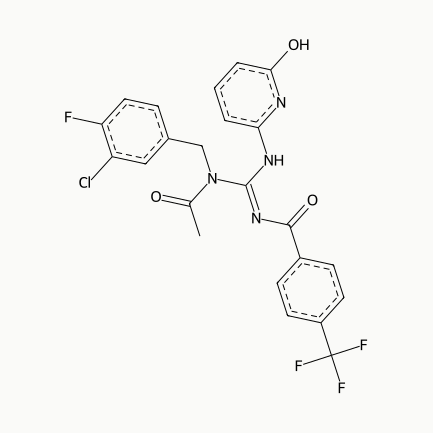 CC(=O)N(Cc1ccc(F)c(Cl)c1)/C(=N/C(=O)c1ccc(C(F)(F)F)cc1)Nc1cccc(O)n1